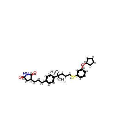 CC(C)(CCCSc1cccc(OC2CCCC2)c1)c1ccc(CCCC2CC(=O)NC2=O)cc1